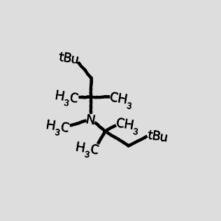 CN(C(C)(C)CC(C)(C)C)C(C)(C)CC(C)(C)C